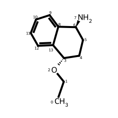 CCO[C@H]1CC[C@H](N)c2ccccc21